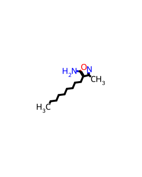 CCCCCCCCCc1c(C)noc1N